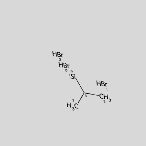 Br.Br.Br.CC(C)[Si]